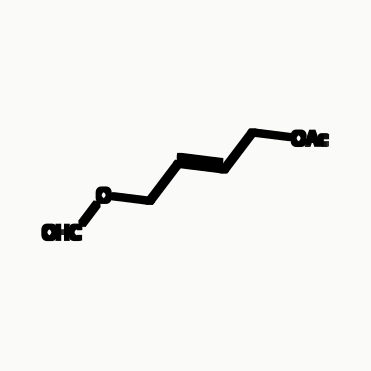 CC(=O)OC/C=C/COC=O